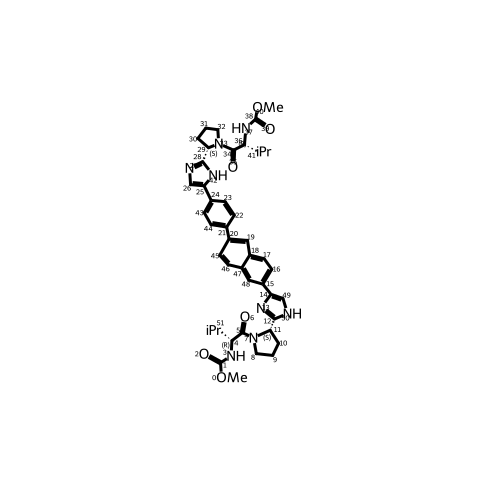 COC(=O)N[C@@H](C(=O)N1CCC[C@H]1c1nc(-c2ccc3cc(-c4ccc(-c5cnc([C@@H]6CCCN6C(=O)[C@H](NC(=O)OC)C(C)C)[nH]5)cc4)ccc3c2)c[nH]1)C(C)C